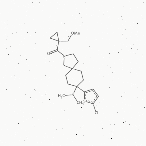 COCC1(C(=O)N2CCC3(CCC(c4ccc(Cl)s4)(N(C)C)CC3)C2)CC1